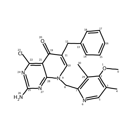 COc1c(C)cnc(Cn2cc(Cc3ccccc3)c(=O)c3c(Cl)nc(N)nc32)c1C